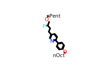 CCCCCCCCOc1ccc(-c2ccc(CCC(F)COCCCCC)cn2)cc1